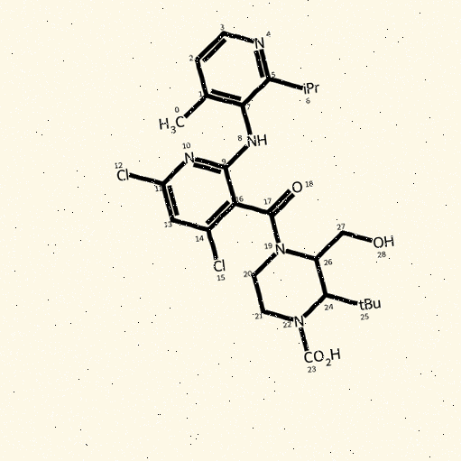 Cc1ccnc(C(C)C)c1Nc1nc(Cl)cc(Cl)c1C(=O)N1CCN(C(=O)O)C(C(C)(C)C)C1CO